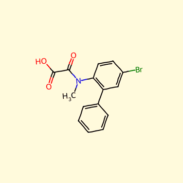 CN(C(=O)C(=O)O)c1ccc(Br)cc1-c1ccccc1